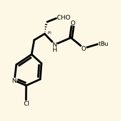 CC(C)(C)OC(=O)N[C@@H](CC=O)Cc1ccc(Cl)nc1